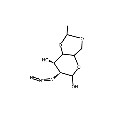 CC1OCC2OC(O)[C@@H](N=[N+]=[N-])[C@@H](O)C2O1